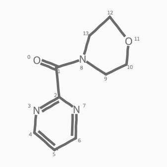 O=C(c1nc[c]cn1)N1CCOCC1